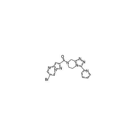 O=C(c1cc2ncc(Br)cn2n1)N1CCn2c(nnc2-c2ccccn2)C1